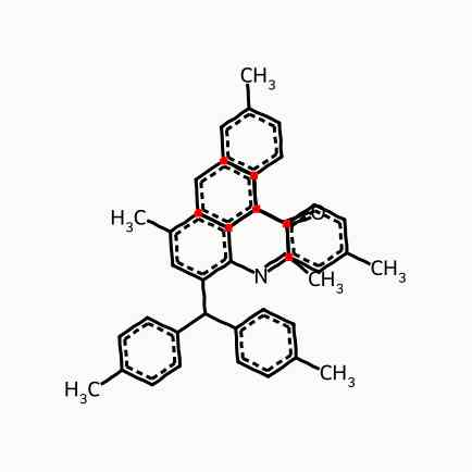 CC(=Nc1c(C(c2ccc(C)cc2)c2ccc(C)cc2)cc(C)cc1C(c1ccc(C)cc1)c1ccc(C)cc1)C(=O)c1ccccc1